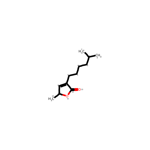 CC(C)CCCCC1=CC(C)OC1=O